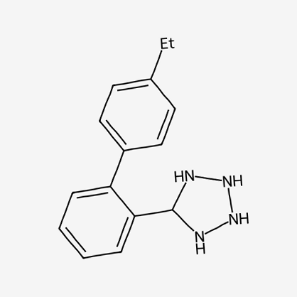 CCc1ccc(-c2ccccc2C2NNNN2)cc1